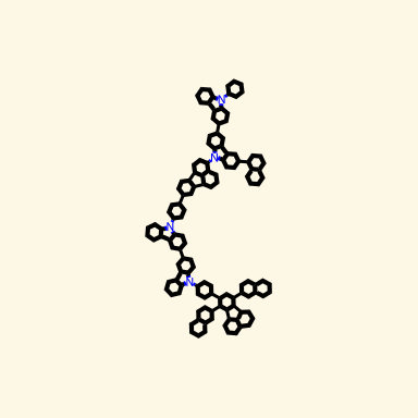 c1ccc(-n2c3ccccc3c3cc(-c4ccc5c(c4)c4cc(-c6cccc7ccccc67)ccc4n5-c4ccc5c6c(cccc46)-c4cc(-c6ccc(-n7c8ccccc8c8cc(-c9ccc%10c(c9)c9ccccc9n%10-c9ccc(-c%10cc(-c%11ccc%12ccccc%12c%11)c%11c(c%10-c%10ccc%12ccccc%12c%10)-c%10cccc%12cccc-%11c%10%12)cc9)ccc87)cc6)ccc4-5)ccc32)cc1